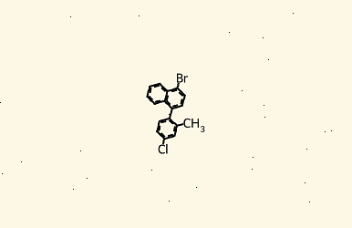 Cc1cc(Cl)ccc1-c1ccc(Br)c2ccccc12